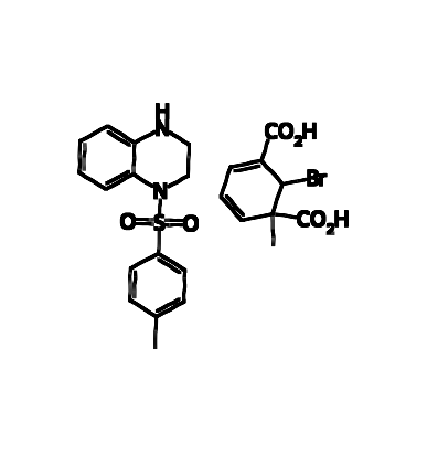 CC1(C(=O)O)C=CC=C(C(=O)O)C1Br.Cc1ccc(S(=O)(=O)N2CCNc3ccccc32)cc1